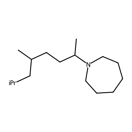 CC(C)CC(C)CCC(C)N1CCCCCC1